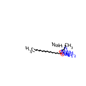 CCCCCCCCCCCCCCCCCC(=O)ON(CCCCCC)C(=N)NC(=N)N.[NaH]